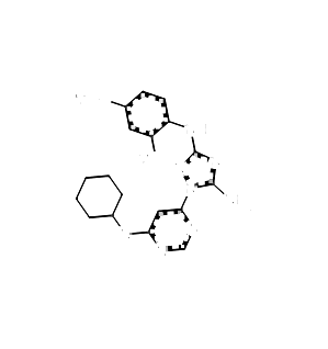 COc1ccc(Nc2nc(N)n(-c3cc(NC4CCCCC4)ncn3)n2)c(OC)c1